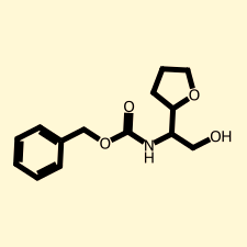 O=C(NC(CO)C1CCCO1)OCc1ccccc1